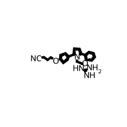 N#CCCCOc1ccc(-c2ccc(-c3ccccc3)n2CC(=O)NC(=N)N)cc1